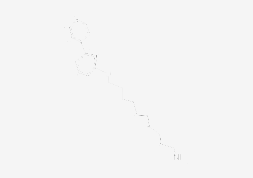 NCCCCCCCCCCOc1cccc(-c2ccccc2)c1